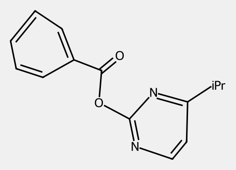 CC(C)c1ccnc(OC(=O)c2ccccc2)n1